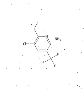 CCc1ncc(C(F)(F)F)cc1Cl.N